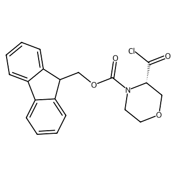 O=C(Cl)[C@@H]1COCCN1C(=O)OCC1c2ccccc2-c2ccccc21